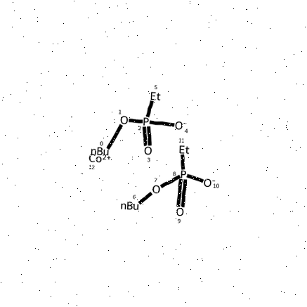 CCCCOP(=O)([O-])CC.CCCCOP(=O)([O-])CC.[Co+2]